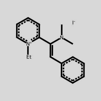 CC[n+]1ccccc1C(=Cc1ccccc1)N(C)C.[I-]